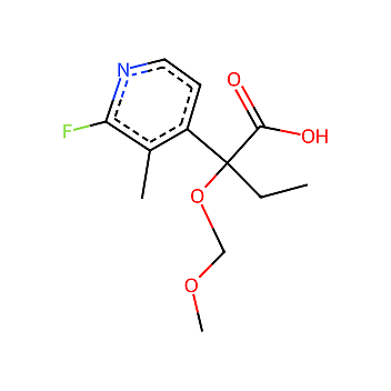 CCC(OCOC)(C(=O)O)c1ccnc(F)c1C